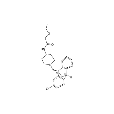 CCOCC(=O)NC1CCN(C[C@]23C[C@@H](c4ccccc42)c2ccc(Cl)cc23)CC1